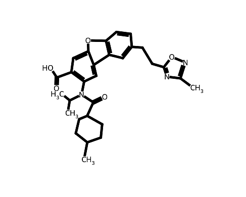 Cc1noc(CCc2ccc3oc4cc(C(=O)O)c(N(C(=O)C5CCC(C)CC5)C(C)C)cc4c3c2)n1